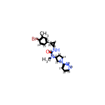 Cc1cc([C@H]2C[C@@H]2NC(=O)N(C)C2CCN(c3cccnn3)C2)ccc1Br